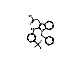 O=C(O)Cc1c(Nc2cccc(C(F)(F)F)c2)n(Cc2ccccc2)c2ccccc12